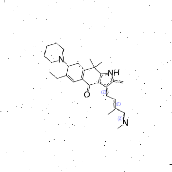 C=c1[nH]c2c(/c1=C/C=C(C)/C=N\C)C(=O)C1=C(CC(N3CCCCC3)C(CC)=C1)C2(C)C